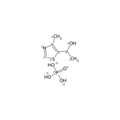 Cc1ncsc1C(C)O.O=P(O)(O)O